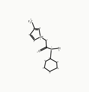 CCN(C(=O)C[SH]1C=CC(C(F)(F)F)=C1)C1CCCCC1